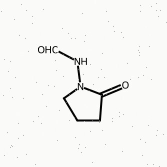 O=CNN1CCCC1=O